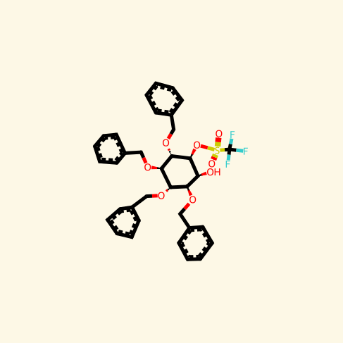 O=S(=O)(O[C@H]1[C@@H](O)[C@@H](OCc2ccccc2)[C@H](OCc2ccccc2)[C@@H](OCc2ccccc2)[C@@H]1OCc1ccccc1)C(F)(F)F